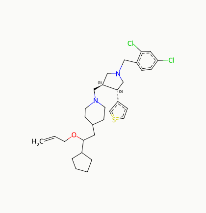 C=CCOC(CC1CCN(C[C@H]2CN(Cc3ccc(Cl)cc3Cl)C[C@@H]2c2ccsc2)CC1)C1CCCC1